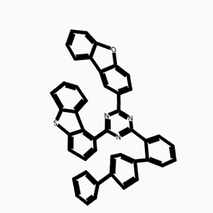 c1ccc(-c2ccc(-c3ccccc3-c3nc(-c4ccc5oc6ccccc6c5c4)nc(-c4cccc5sc6ccccc6c45)n3)cc2)cc1